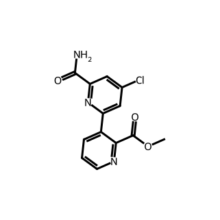 COC(=O)c1ncccc1-c1cc(Cl)cc(C(N)=O)n1